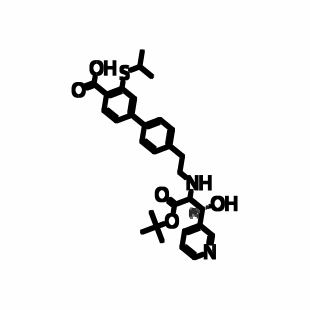 CC(C)Sc1cc(-c2ccc(CCNC(C(=O)OC(C)(C)C)[C@H](O)c3cccnc3)cc2)ccc1C(=O)O